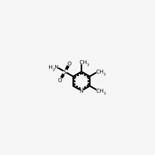 Cc1ncc(S(N)(=O)=O)c(C)c1C